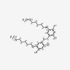 Fc1cc(Cl)c(CSc2cc(OCCCCCSC(F)(F)F)c(F)cc2Cl)cc1OCCCCCSC(F)(F)F